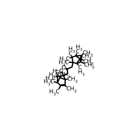 CC1=C(C)C2(C)C(C)(C)C1(C)C(C)(C)C2(C)CC(=O)CC1(C)C(C)(C)C2(C)C(C)=C(C)C1(C)C2(C)C